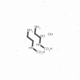 Cl.Cl.NCCNC(=O)O.NCCNC(=O)O